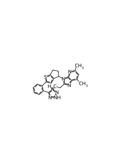 CCc1nc2c(C)cc(C)nc2n1C1CCc2sc(-c3ccccc3-c3nn[nH]n3)cc21